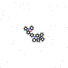 c1ccc(N(c2ccc(-c3ccc4c5ccccc5n5c4c3Oc3ccccc3-5)cc2)c2ccc3c(c2)C(c2ccccc2)(c2ccccc2)c2ccccc2-3)cc1